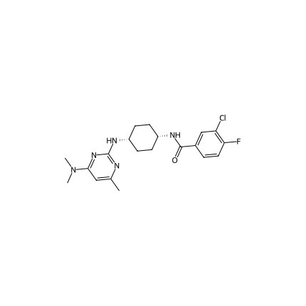 Cc1cc(N(C)C)nc(N[C@H]2CC[C@@H](NC(=O)c3ccc(F)c(Cl)c3)CC2)n1